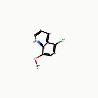 CC(C)Oc1ccc(Cl)c2cccnc12